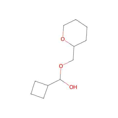 OC(OCC1CCCCO1)C1CCC1